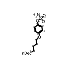 CCCCCCCCCCCCCCOc1ccc(OS(N)(=O)=O)cc1